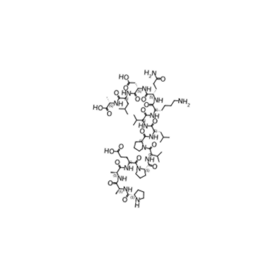 CC(C)C[C@H](NC(=O)[C@H](CC(=O)O)NC(=O)[C@H](CCC(N)=O)NC(=O)[C@H](CCCCN)NC(=O)[C@@H](NC(=O)[C@H](CC(C)C)NC(=O)[C@@H]1CCCN1C(=O)[C@@H](NC(=O)[C@@H]1CCCN1C(=O)[C@H](CCC(=O)O)NC(=O)[C@H](C)NC(=O)[C@H](C)NC(=O)[C@@H]1CCCN1)C(C)C)C(C)C)C(=O)N[C@@H](C)C(=O)O